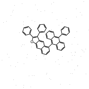 c1ccc(-c2oc3cc4cccc(-c5c6ccccc6c(-c6ccccc6)c6ccccc56)c4cc3c2-c2ccccc2)cc1